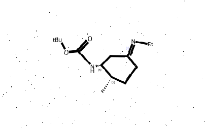 CC/N=C1\CC[C@H](C)[C@H](NC(=O)OC(C)(C)C)C1